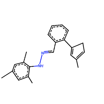 CC1=CCC(c2ccccc2/C=N/Nc2c(C)cc(C)cc2C)=C1